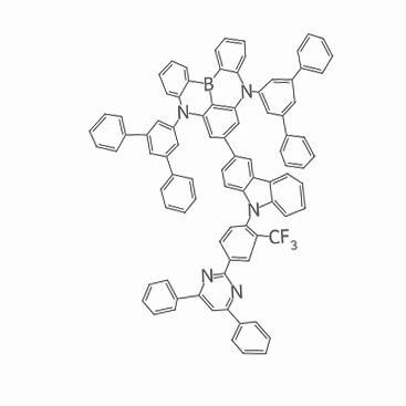 FC(F)(F)c1cc(-c2nc(-c3ccccc3)cc(-c3ccccc3)n2)ccc1-n1c2ccccc2c2cc(-c3cc4c5c(c3)N(c3cc(-c6ccccc6)cc(-c6ccccc6)c3)c3ccccc3B5c3ccccc3N4c3cc(-c4ccccc4)cc(-c4ccccc4)c3)ccc21